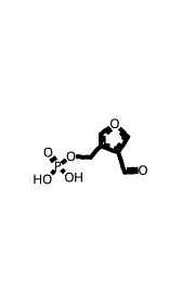 O=Cc1cocc1COP(=O)(O)O